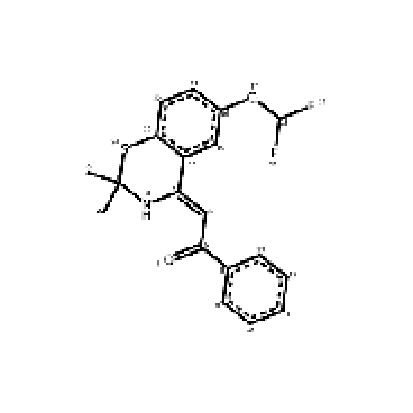 CC1(C)N/C(=C\C(=O)c2ccccc2)c2cc(OC(F)F)ccc2S1